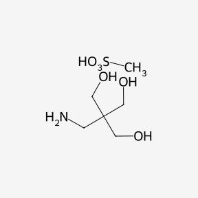 CS(=O)(=O)O.NCC(CO)(CO)CO